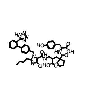 CCCCc1nc(Cl)c(C(=O)NCC(CC2(C(=O)N[C@@H](Cc3ccc(O)cc3)C(=O)O)CCCC2)C(=O)O)n1Cc1ccc(-c2ccccc2-c2nnn[nH]2)cc1